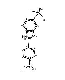 C[S+]([O-])c1ccc(-c2nc3cc(C(F)(F)F)ccc3[nH]2)cc1